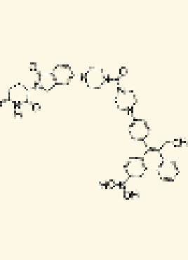 CC/C(=C(/c1ccc(B(O)O)cc1)c1ccc(N2CCN(C(=O)N3CCN(c4ccc5c(c4)CN([C@H]4CCC(=O)NC4=O)C5=O)CC3)CC2)cc1)c1ccccc1